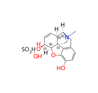 CN1CC[C@]23c4c5ccc(O)c4O[C@H]2[C@@H](O)C=C[C@H]3[C@H]1C5.O=S(=O)(O)O